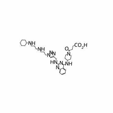 O=C(O)CCC(=O)N1CCC(Nc2nc(NCc3cn(CCCNCCCNC4CCCCC4)nn3)nc3ccccc23)CC1